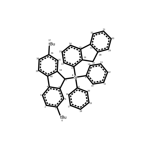 CC(C)(C)c1ccc2c(c1)C([Si](c1ccccc1)(c1ccccc1)c1cccc3c1Cc1ccccc1-3)c1cc(C(C)(C)C)ccc1-2